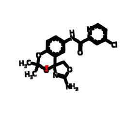 CC1(C)Oc2ccc(NC(=O)c3cc(Cl)ccn3)cc2C2(COC(N)=N2)C12COC2